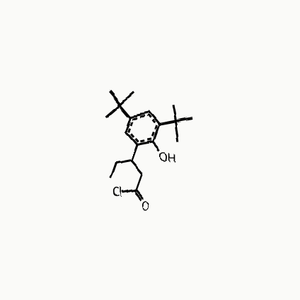 CCC(CC(=O)Cl)c1cc(C(C)(C)C)cc(C(C)(C)C)c1O